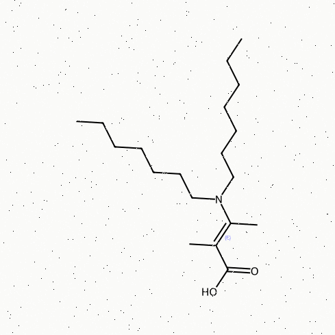 CCCCCCCN(CCCCCCC)/C(C)=C(\C)C(=O)O